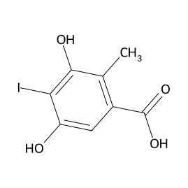 Cc1c(C(=O)O)cc(O)c(I)c1O